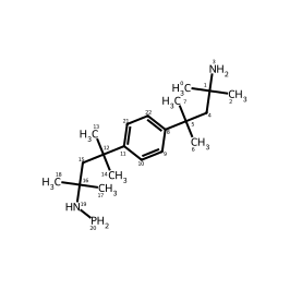 CC(C)(N)CC(C)(C)c1ccc(C(C)(C)CC(C)(C)NP)cc1